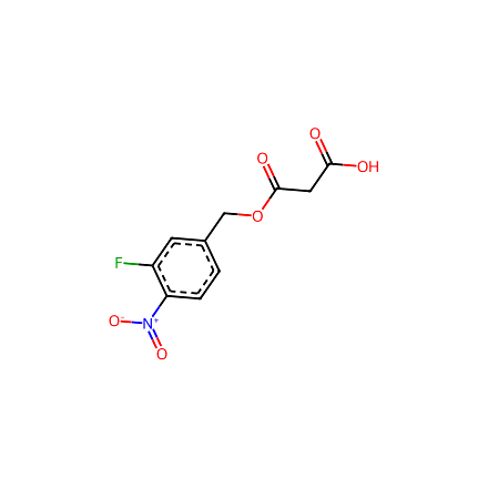 O=C(O)CC(=O)OCc1ccc([N+](=O)[O-])c(F)c1